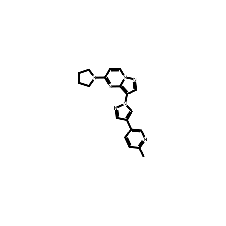 Cc1ccc(-c2cnn(-c3cnn4ccc(N5CCCC5)nc34)c2)cn1